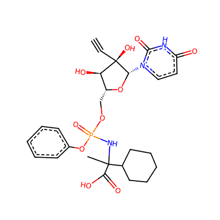 C#C[C@@]1(O)[C@H](O)[C@@H](COP(=O)(NC(C)(C(=O)O)C2CCCCC2)Oc2ccccc2)O[C@H]1n1ccc(=O)[nH]c1=O